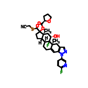 C[C@]12Cc3cnn(-c4ccc(F)nc4)c3C=C1CC[C@H]1[C@@H]3CC[C@](OC(=O)[C@H]4CCCO4)(C(=O)SCC#N)[C@@]3(C)C[C@H](O)[C@@]12F